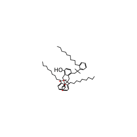 CCCCCCCCCc1ccccc1C(C)(C)Cc1ccc(O)c(CC(C)(C)c2ccccc2CCCCCCCCC)c1CC(C)(C)c1ccccc1CCCCCCCCC